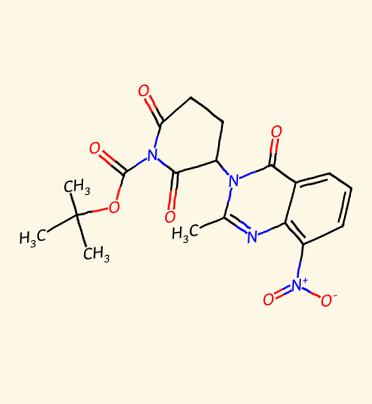 Cc1nc2c([N+](=O)[O-])cccc2c(=O)n1C1CCC(=O)N(C(=O)OC(C)(C)C)C1=O